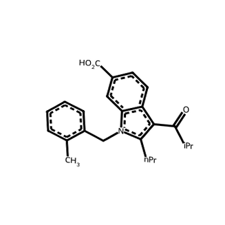 CCCc1c(C(=O)C(C)C)c2ccc(C(=O)O)cc2n1Cc1ccccc1C